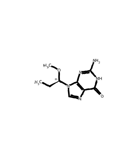 CC[C@@H](OC)n1cnc2c(=O)[nH]c(N)nc21